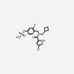 CP(=O)(O)Oc1ccc(CN(CC2CCC2)C(=O)c2cc(Cl)n[nH]2)c(F)c1